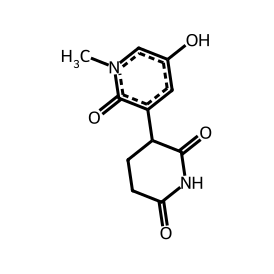 Cn1cc(O)cc(C2CCC(=O)NC2=O)c1=O